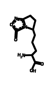 NC(CCCC1CCc2noc(=O)n21)C(=O)O